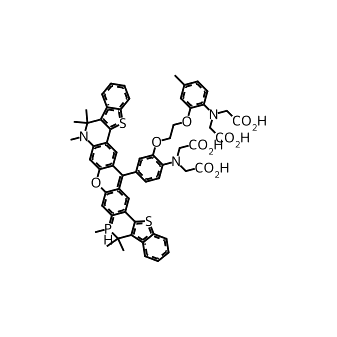 Cc1ccc(N(CC(=O)O)CC(=O)O)c(OCCOc2cc(C3=c4cc5c(cc4Oc4cc6c(cc43)-c3sc4ccccc4c3C(C)(C)N6C)=[PH](C)C(C)(C)c3c-5sc4ccccc34)ccc2N(CC(=O)O)CC(=O)O)c1